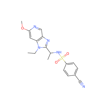 CCn1c(C(C)NS(=O)(=O)c2ccc(C#N)cc2)nc2cnc(OC)cc21